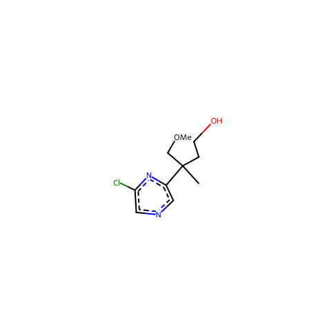 COCC(C)(CCO)c1cncc(Cl)n1